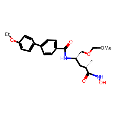 CCOc1ccc(-c2ccc(C(=O)N[C@H](COCOC)C[C@H](C)C(=O)NO)cc2)cc1